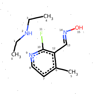 CCNCC.Cc1ccnc(F)c1C=NO